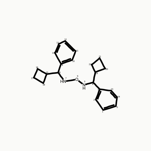 c1ccc(C(NONC(c2ccccc2)C2CCC2)C2CCC2)cc1